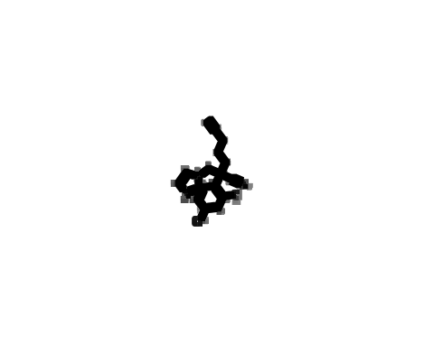 C#CCCCC(C#N)(Cn1ccnc1)c1ccc(Cl)cc1Cl